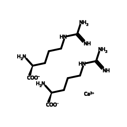 N=C(N)NCCC[C@H](N)C(=O)[O-].N=C(N)NCCC[C@H](N)C(=O)[O-].[Ca+2]